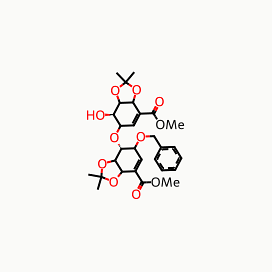 COC(=O)C1=CC(O[C@@H]2C(OCc3ccccc3)C=C(C(=O)OC)C3OC(C)(C)OC32)[C@@H](O)C2OC(C)(C)OC12